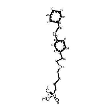 O=S(=O)(O)CCCCOCCc1ccc(OCc2ccccc2)cc1